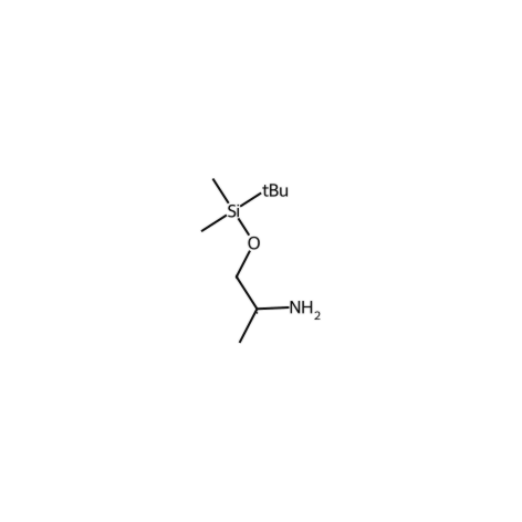 C[C](N)CO[Si](C)(C)C(C)(C)C